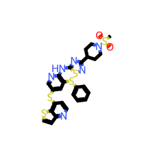 CS(=O)(=O)N1CCC(c2nsc(Nc3ncc(Sc4ccnc5ccsc45)cc3Sc3ccccc3)n2)CC1